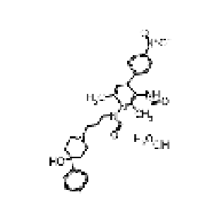 CC1=CC(c2ccc([N+](=O)[O-])cc2)C(NC=O)=C(C)N1N(C=O)CCCN1CCC(O)(c2ccccc2)CC1.Cl.O